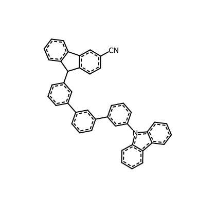 N#Cc1ccc2c(c1)-c1ccccc1C2c1cccc(-c2cccc(-c3cccc(-n4c5ccccc5c5ccccc54)c3)c2)c1